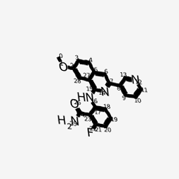 COc1ccc2cc(-c3cccnc3)nc(Nc3cccc(F)c3C(N)=O)c2c1